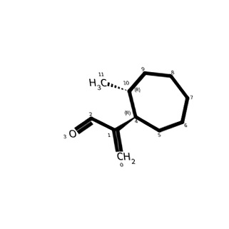 C=C(C=O)[C@@H]1CCCCC[C@H]1C